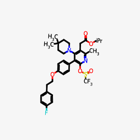 Cc1nc(OS(=O)C(F)(F)F)c(-c2ccc(OCCc3ccc(F)cc3)cc2)c(N2CCC(C)(C)CC2)c1CC(=O)OC(C)C